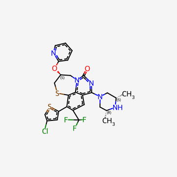 C[C@@H]1CN(c2nc(=O)n3c4c(c(-c5cc(Cl)cs5)c(C(F)(F)F)cc24)SC[C@@H](Oc2ccccn2)C3)C[C@H](C)N1